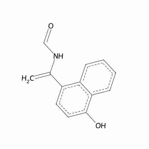 C=C(NC=O)c1ccc(O)c2ccccc12